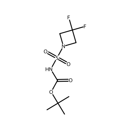 CC(C)(C)OC(=O)NS(=O)(=O)N1CC(F)(F)C1